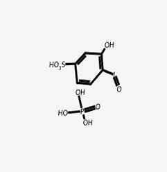 O=Ic1ccc(S(=O)(=O)O)cc1O.O=P(O)(O)O